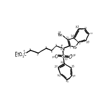 CCOC(=O)CCCCCN(c1sc2ccccc2c1Br)S(=O)(=O)c1ccccc1